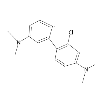 CN(C)c1cc[c]c(-c2ccc(N(C)C)cc2Cl)c1